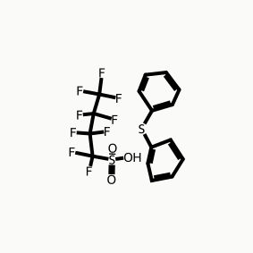 O=S(=O)(O)C(F)(F)C(F)(F)C(F)(F)C(F)(F)F.c1ccc(Sc2ccccc2)cc1